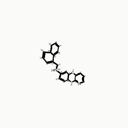 c1cnc2c(c1)Oc1cc(NCc3cccc4ccccc34)ccc1S2